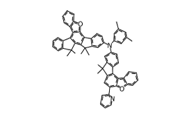 Cc1cc(C)cc(N(c2ccc3c(c2)C(C)(C)c2cc(-c4ccccn4)c4oc5ccccc5c4c2-3)c2ccc3c(c2)C(C)(C)c2c4c(c5c(oc6ccccc65)c2-3)-c2ccccc2C4(C)C)c1